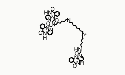 CN(CCCCCCCCN(C)CCCCCCN(CC(=O)N1c2ccccc2C(=O)Nc2cccnc21)CC(=O)N1c2ccccc2C(=O)Nc2cccnc21)CCCCCCNCC(=O)N1C=CC=C2NC(=O)c3ccccc3N=C21